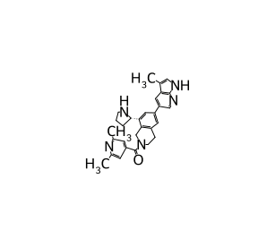 Cc1cc(C(=O)N2CCc3cc(-c4cnc5[nH]cc(C)c5c4)cc([C@@H]4CCCN4)c3C2)cc(C)n1